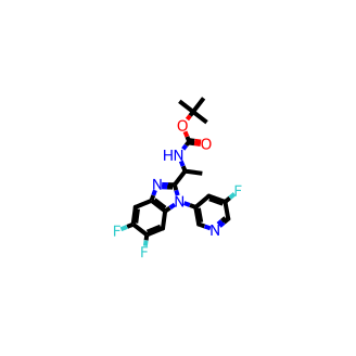 CC(NC(=O)OC(C)(C)C)c1nc2cc(F)c(F)cc2n1-c1cncc(F)c1